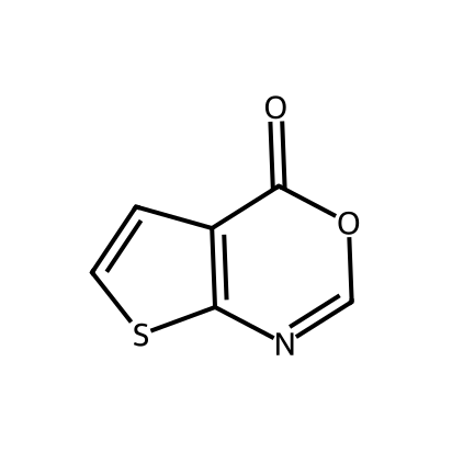 O=c1ocnc2sccc12